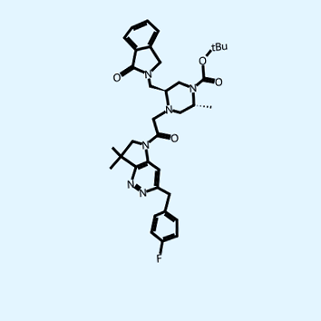 C[C@@H]1CN(CC(=O)N2CC(C)(C)c3nnc(Cc4ccc(F)cc4)cc32)[C@@H](CN2Cc3ccccc3C2=O)CN1C(=O)OC(C)(C)C